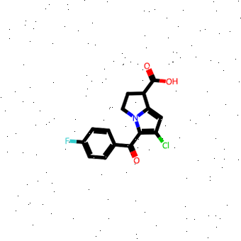 O=C(c1ccc(F)cc1)c1c(Cl)cc2n1CCC2C(=O)O